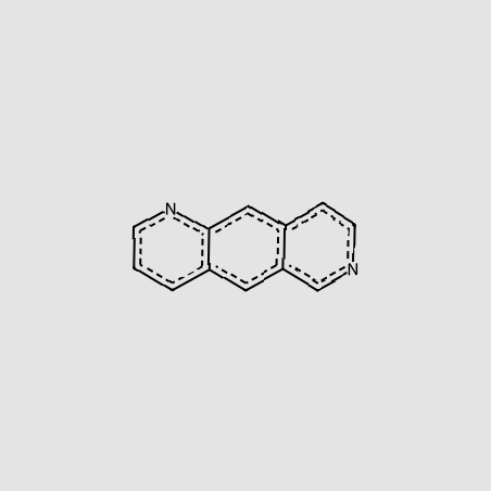 c1cnc2cc3ccncc3cc2c1